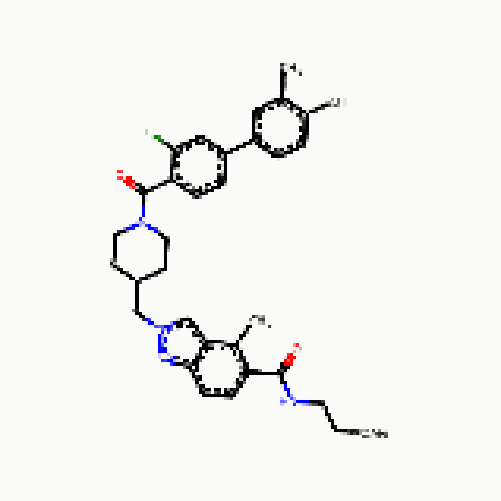 COCCNC(=O)c1ccc2nn(CC3CCN(C(=O)c4ccc(-c5ccc(C)c(C)c5)cc4F)CC3)cc2c1C